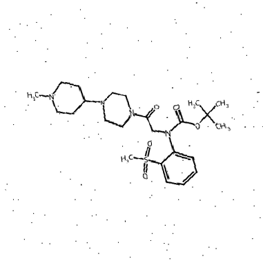 CN1CCC(N2CCN(C(=O)CN(C(=O)OC(C)(C)C)c3ccccc3S(C)(=O)=O)CC2)CC1